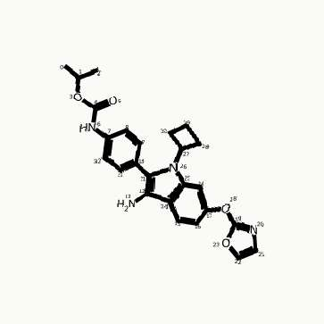 CC(C)OC(=O)Nc1ccc(-c2c(N)c3ccc(Oc4ncco4)cc3n2C2CCC2)cc1